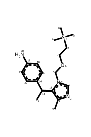 Cc1ncn(COCC[Si](C)(C)C)c1C(C)c1ccc(N)cc1